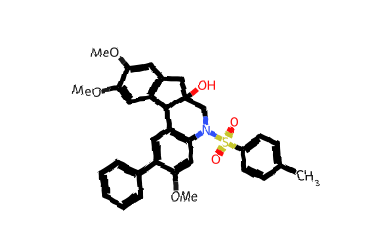 COc1cc2c(cc1OC)C1c3cc(-c4ccccc4)c(OC)cc3N(S(=O)(=O)c3ccc(C)cc3)CC1(O)C2